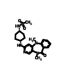 CN1C(=O)c2ccccc2N(C)c2cc(N[C@H]3CC[C@@H](NS(C)(=O)=O)CC3)ncc21